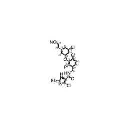 CCc1nc(Cl)c(C(=O)NCc2ccc(Cl)c(Oc3cc(Cl)cc(/C=C/C#N)c3)c2F)[nH]1